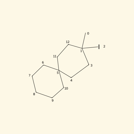 CC1(I)CCC2(CCCCC2)CC1